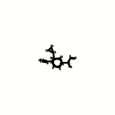 [CH2]C(C=C)c1ccc(C#N)c(C2CC2)c1